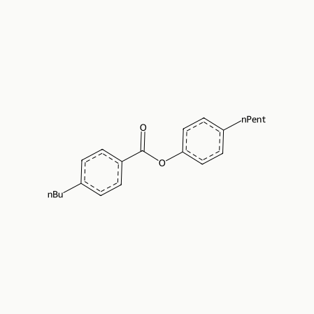 CCCCCc1ccc(OC(=O)c2ccc(CCCC)cc2)cc1